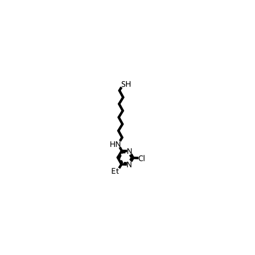 CCc1cc(NCCCCCCCCS)nc(Cl)n1